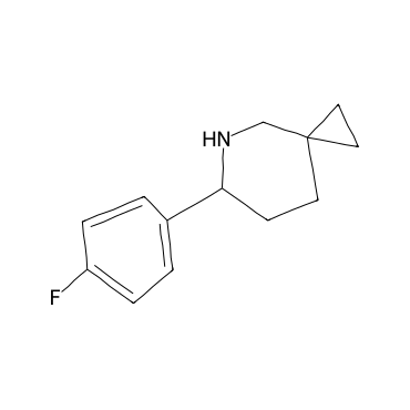 Fc1ccc(C2CCC3(CC3)CN2)cc1